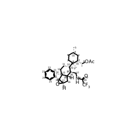 CC(=O)OC[C@H]1C[C@@H](C)CC[C@]1(C)[C@H]1CC[C@@]2(C)[C@@H](C[C@H]3O[C@]32c2ccccc2)[C@@H]1CNC(=O)C(F)(F)F